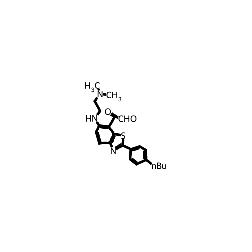 CCCCc1ccc(-c2nc3ccc(NCCN(C)C)c(C(=O)C=O)c3s2)cc1